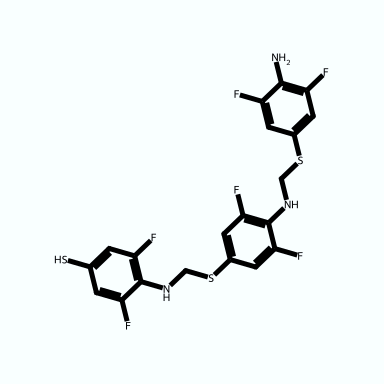 Nc1c(F)cc(SCNc2c(F)cc(SCNc3c(F)cc(S)cc3F)cc2F)cc1F